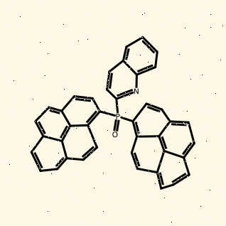 O=P(c1ccc2ccccc2n1)(c1ccc2ccc3cccc4ccc1c2c34)c1ccc2ccc3cccc4ccc1c2c34